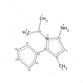 Cc1cc(N)n(C(C)C)c1-c1ccccc1